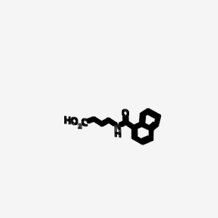 O=C(O)CCCNC(=O)c1cccc2ccccc12